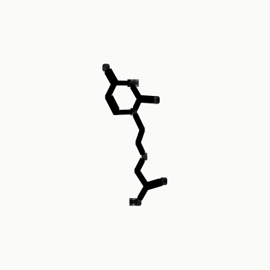 O=C(O)CSCCn1ccc(=O)[nH]c1=O